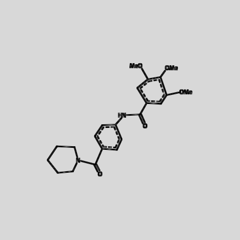 COc1cc(C(=O)Nc2ccc(C(=O)N3CCCCC3)cc2)cc(OC)c1OC